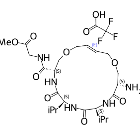 COC(=O)CNC(=O)[C@@H]1COC/C=C/COC[C@H](N)C(=O)N[C@@H](C(C)C)C(=O)N[C@@H](C(C)C)C(=O)N1.O=C(O)C(F)(F)F